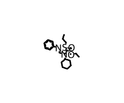 CCCSP(=O)(OCC)N(C=Nc1ccccc1)C1CCCCC1